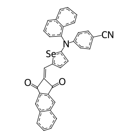 N#Cc1ccc(N(c2ccc(C=C3C(=O)c4cc5ccccc5cc4C3=O)[se]2)c2cccc3ccccc23)cc1